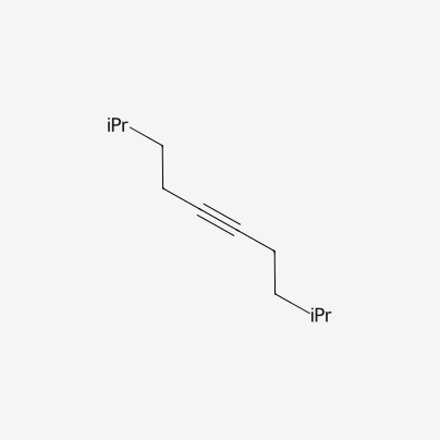 CC(C)CCC#CCCC(C)C